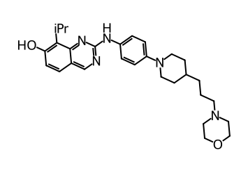 CC(C)c1c(O)ccc2cnc(Nc3ccc(N4CCC(CCCN5CCOCC5)CC4)cc3)nc12